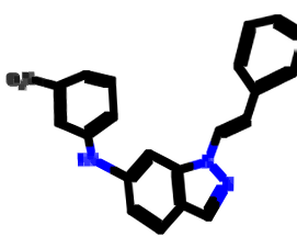 O=[N+]([O-])c1cccc(Nc2ccc3cnn(C=Cc4ccccc4)c3c2)c1